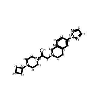 O=C(CN1CCc2cc(-n3nccn3)ccc2C1)N1CCN(C2CCC2)CC1